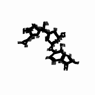 Cc1cc2c(F)c(Oc3nc(Cl)cc(N(C)c4cc(C5CC5)[nH]n4)n3)ccc2[nH]1